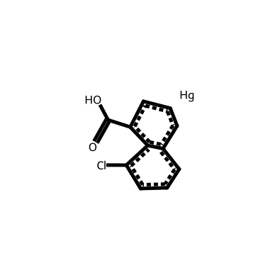 O=C(O)c1cccc2cccc(Cl)c12.[Hg]